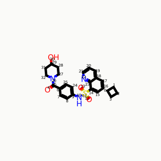 C1CCC1.O=C(c1ccc(NS(=O)(=O)c2cccc3cccnc23)cc1)N1CCC(O)CC1